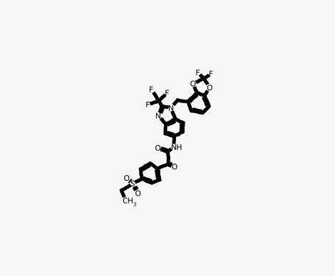 CCS(=O)(=O)c1ccc(C(=O)C(=O)Nc2ccc3c(c2)nc(C(F)(F)F)n3Cc2cccc3c2OC(F)(F)O3)cc1